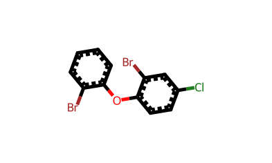 Clc1ccc(Oc2ccccc2Br)c(Br)c1